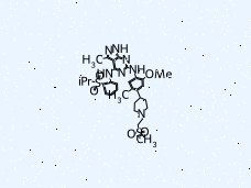 COc1cc(C2CCN(CCS(C)(=O)=O)CC2)c(C)cc1Nc1nc(Nc2ccccc2S(=O)(=O)C(C)C)c2c(C)n[nH]c2n1